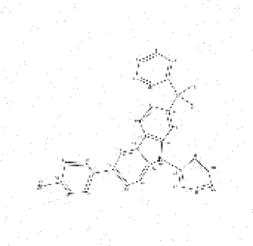 CC1(C)c2ccccc2-c2cc3c4cc(-c5ccc(Br)cc5)ccc4n(-c4ccccc4)c3cc21